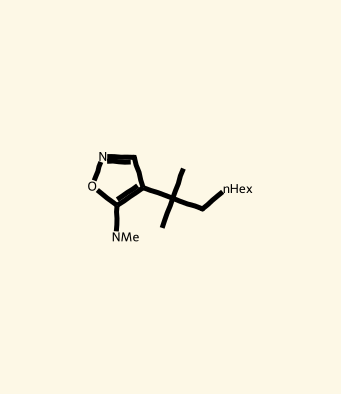 CCCCCCCC(C)(C)c1cnoc1NC